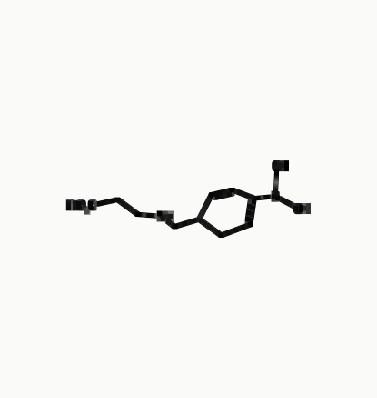 CCOC(=O)CCNCC1C=CC(B(O)O)=CC1